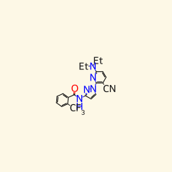 CCN(CC)c1ccc(C#N)c(-n2ccc(NC(=O)c3ccccc3C(F)(F)F)n2)n1